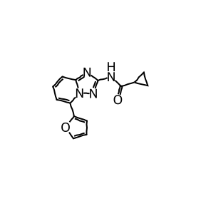 O=C(Nc1nc2cccc(-c3ccco3)n2n1)C1CC1